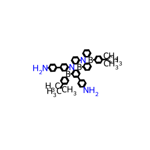 CC(C)(C)c1ccc(B2c3ccccc3N3c4cccc5c4B(c4cccc2c43)c2cc(-c3ccc(N)cc3)cc3c2N5c2ccc(-c4ccc(N)cc4)cc2B3c2ccc(C(C)(C)C)cc2)cc1